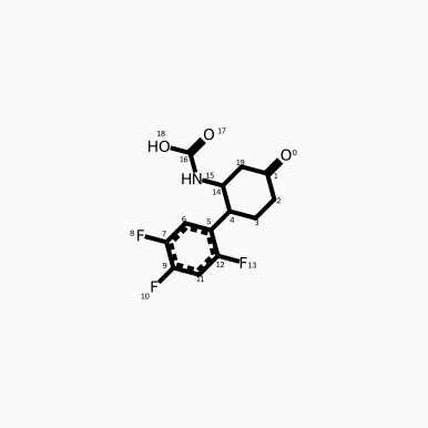 O=C1CCC(c2cc(F)c(F)cc2F)C(NC(=O)O)C1